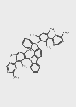 CSc1ncnc(-c2c(C)cc(C)c(-n3c4ccccc4c4c3ccc3c5ccccc5n(-c5c(C)cc(C)c(-c6ncnc(SC)n6)c5C)c34)c2C)n1